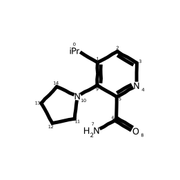 CC(C)c1ccnc(C(N)=O)c1N1CCCC1